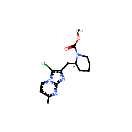 Cc1ccn2c(Cl)c(C[C@@H]3CCCCN3C(=O)OC(C)(C)C)nc2n1